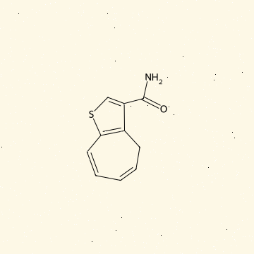 NC(=O)c1csc2c1CC=CC=C2